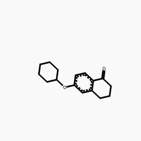 O=C1CCCc2cc(OC3CCCCC3)ccc21